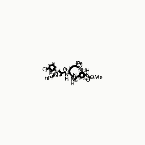 CCC/C=N/N(/C=C(\C)C(=O)N[C@H]1CCCC(C(C)C)C(=O)Nc2cc(NC(=O)OC)ccc2-c2c[nH]c1n2)C1=CCCC(Cl)=C1F